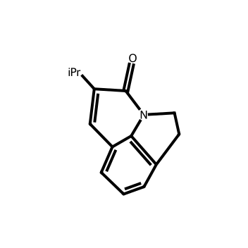 CC(C)c1cc2cccc3c2n(c1=O)CC3